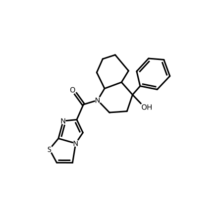 O=C(c1cn2ccsc2n1)N1CCC(O)(c2ccccc2)C2CCCCC21